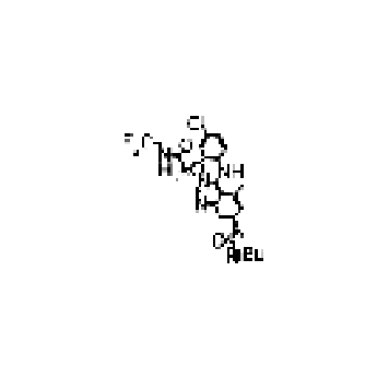 CCCC[SH](=O)=Nc1cc(C)c2c(Nc3ccc(Cl)cc3O[C@H](C)C(=O)NCC(F)(F)F)ncnc2c1